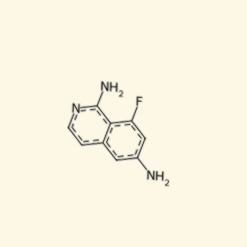 Nc1cc(F)c2c(N)nccc2c1